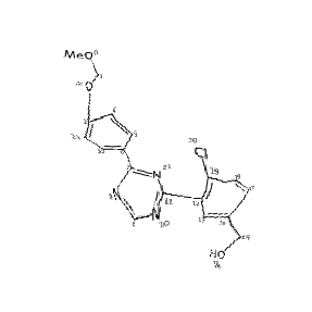 COCOc1ccc(-c2ncnc(-c3cc(CO)ccc3Cl)n2)cc1